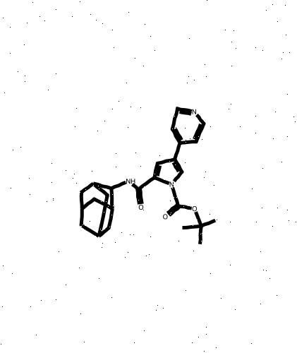 CC(C)(C)OC(=O)n1cc(-c2ccncc2)cc1C(=O)NC1C2CC3CC(C2)CC1C3